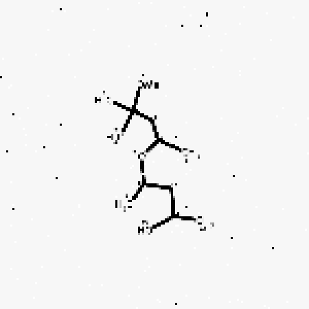 COC(C)(C)CC(C)OC(C)CC(C)O